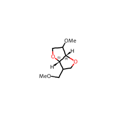 COCC1CO[C@H]2C(OC)CO[C@@H]12